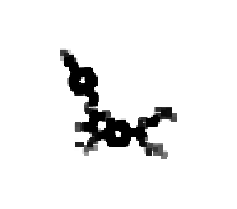 C=C=C(OCC)c1ccc2c(c1)OC(OCc1ccc(C#N)cc1)C(=O)N2C